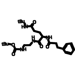 CC(C)(C)NC(=O)CCC(NC(=O)CCc1ccccc1)C(=O)NCCNC(=O)OC(C)(C)C